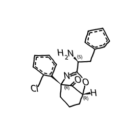 N[C@@H](Cc1ccccc1)C1=N[C@@]2(c3ccccc3Cl)CCC[C@@H](O1)C2=O